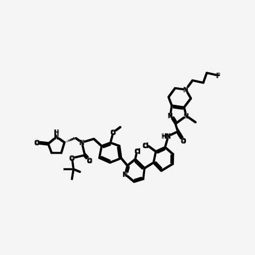 COc1cc(-c2nccc(-c3cccc(NC(=O)c4nc5c(n4C)CN(CCCF)CC5)c3Cl)c2Cl)ccc1CN(C[C@@H]1CCC(=O)N1)C(=O)OC(C)(C)C